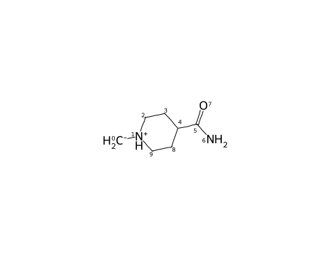 [CH2-][NH+]1CCC(C(N)=O)CC1